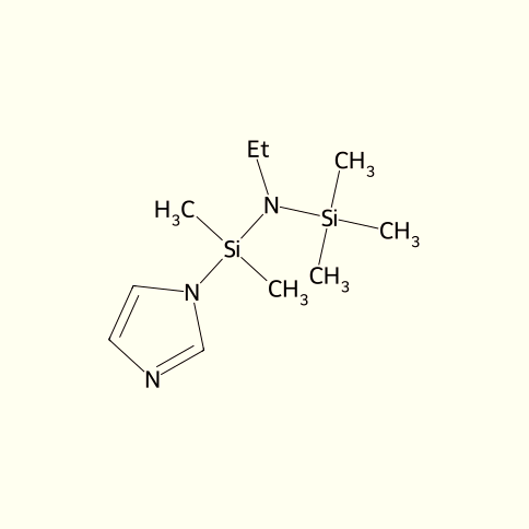 CCN([Si](C)(C)C)[Si](C)(C)n1ccnc1